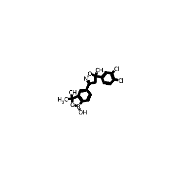 CC1(C)OB(O)c2ccc(C3=NOC(C)(c4ccc(Cl)c(Cl)c4)C3)cc21